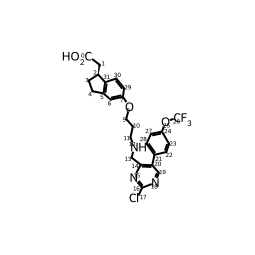 O=C(O)C[C@@H]1CCc2cc(OCCCNCc3nc(Cl)ncc3-c3ccc(OC(F)(F)F)cc3)ccc21